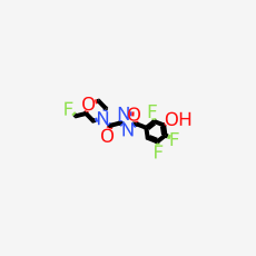 O=C(c1noc(-c2cc(F)c(F)c(O)c2F)n1)N1CCOC(CF)C1